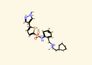 C[C@@H](CC1CCCCC1)NCc1ccccc1NS(=O)(=O)c1ccc(-c2cnn(C)c2)s1